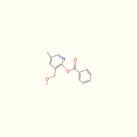 COCc1cc(C)cnc1OC(=O)c1ccccc1